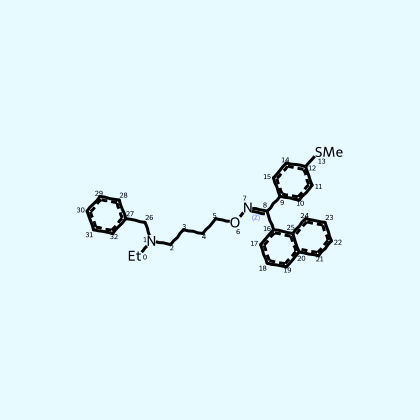 CCN(CCCCO/N=C(/c1ccc(SC)cc1)c1cccc2ccccc12)Cc1ccccc1